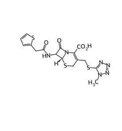 Cn1nnnc1SCC1=C(C(=O)O)N2C(=O)C(NC(=O)Cc3cccs3)[C@H]2SC1